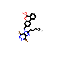 CCCCc1nc2c(n1Cc1ccc(-c3ccccc3C(=O)O)cc1)C(=S)N=NC2=S